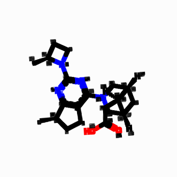 C[C@@H]1CCc2c1nc(N1CC[C@@H]1C)nc2N1C[C@H]2C[C@@H](C1)[C@@H]2CC(=O)O